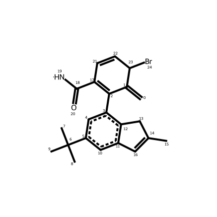 C=C1C(c2cc(C(C)(C)C)cc3c2CC(C)=C3)=C(C([NH])=O)C=CC1Br